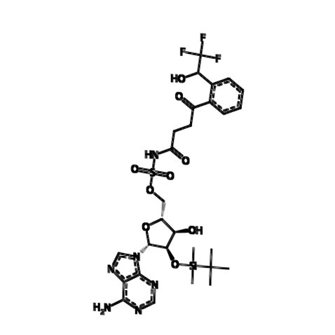 CC(C)(C)[Si](C)(C)O[C@@H]1[C@H](O)[C@@H](COS(=O)(=O)NC(=O)CCC(=O)c2ccccc2C(O)C(F)(F)F)O[C@H]1n1cnc2c(N)ncnc21